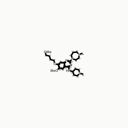 COCCCCOc1cc2nc(N3CCCN(C)CC3)nc(NC3CCN(C)CC3)c2cc1OC